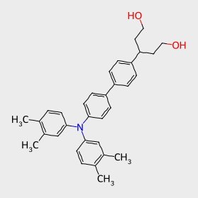 Cc1ccc(N(c2ccc(-c3ccc(C(CCO)CCO)cc3)cc2)c2ccc(C)c(C)c2)cc1C